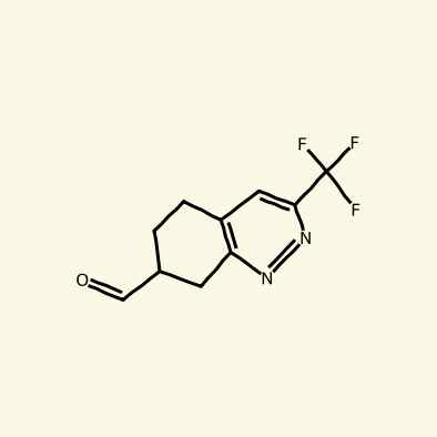 O=CC1CCc2cc(C(F)(F)F)nnc2C1